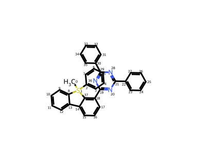 CS1(c2ccccc2)c2ccccc2-c2cccc(-c3nc(-c4ccccc4)nc(-c4ccccc4)n3)c21